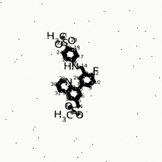 CS(=O)(=O)Cc1cc(-c2ccc(F)c(CNc3ccc(S(C)(=O)=O)cc3)c2)c2ncccc2c1